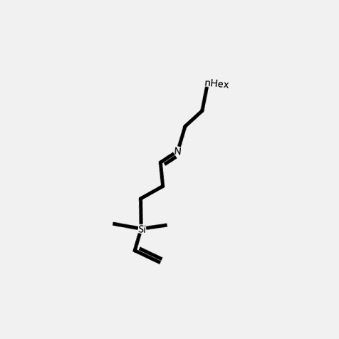 C=C[Si](C)(C)CCC=NCCCCCCCC